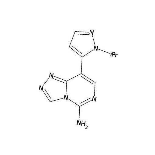 CC(C)n1nccc1-c1cnc(N)n2cnnc12